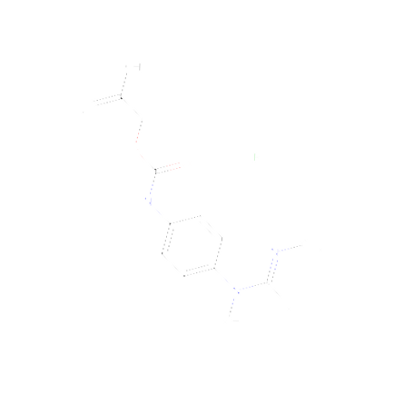 C=C(C)COC(=O)Nc1ccc(N(C)C(C)=NC)cc1.Cl